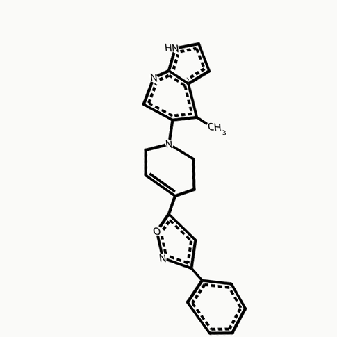 Cc1c(N2CC=C(c3cc(-c4ccccc4)no3)CC2)cnc2[nH]ccc12